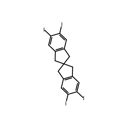 Ic1cc2c(cc1I)CC1(C2)Cc2cc(I)c(I)cc2C1